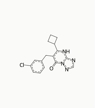 O=c1c(Cc2cccc(Cl)c2)c(C2CCC2)[nH]c2ncnn12